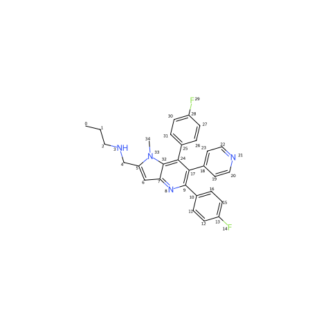 CCCNCc1cc2nc(-c3ccc(F)cc3)c(-c3ccncc3)c(-c3ccc(F)cc3)c2n1C